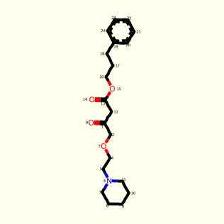 O=C(COCCN1CCCCC1)CC(=O)OCCCc1ccccc1